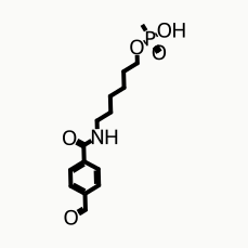 CP(=O)(O)OCCCCCCNC(=O)c1ccc(C=O)cc1